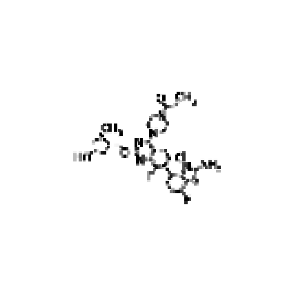 C=CC(=O)N1CCN(c2nc(OC[C@@H]3C[C@@H](O)CN3C)nc3c(F)c(-c4ccc(F)c5sc(N)nc45)c(Cl)cc23)CC1